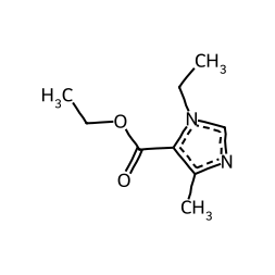 CCOC(=O)c1c(C)ncn1CC